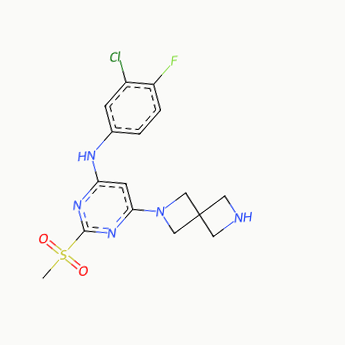 CS(=O)(=O)c1nc(Nc2ccc(F)c(Cl)c2)cc(N2CC3(CNC3)C2)n1